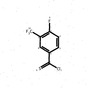 Fc1ccc(C(=S)Cl)cc1C(F)(F)F